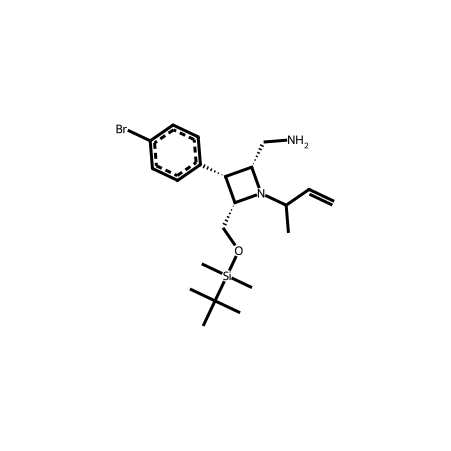 C=CC(C)N1[C@H](CO[Si](C)(C)C(C)(C)C)[C@H](c2ccc(Br)cc2)[C@@H]1CN